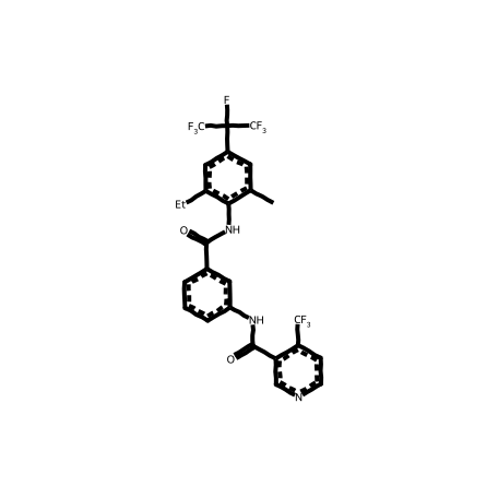 CCc1cc(C(F)(C(F)(F)F)C(F)(F)F)cc(C)c1NC(=O)c1cccc(NC(=O)c2cnccc2C(F)(F)F)c1